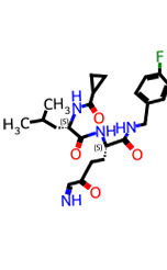 CC(C)C[C@H](NC(=O)C1CC1)C(=O)N[C@@H](CCC(=O)C=N)C(=O)NCc1ccc(F)cc1